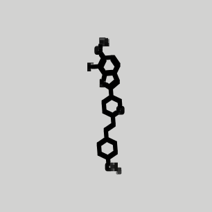 CCOc1ccc2cc(C3CCC(CCC4CCC(C)CC4)OC3)sc2c1F